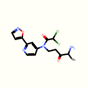 CCC(C)C(N)C(=O)CCN(C(=O)C(Cl)Cl)c1ccnc(-c2ccno2)c1